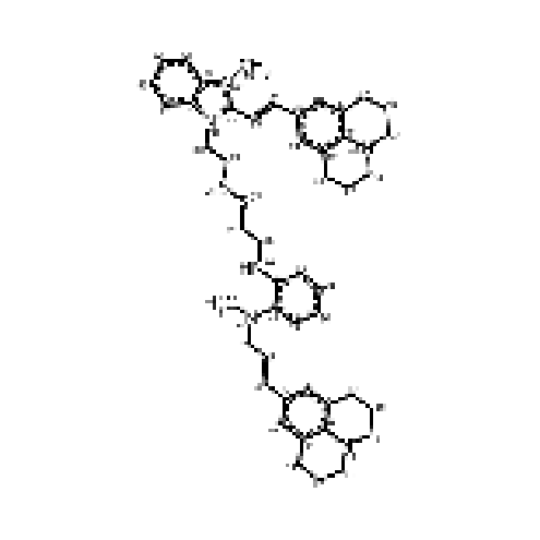 CN(C/C=C/c1cc2c3c(c1)CCCN3CCC2)c1ccccc1NCCSSCC[n+]1c(/C=C/c2cc3c4c(c2)CCCN4CCC3)n(C)c2ccccc21